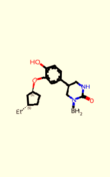 BN1CC(c2ccc(O)c(O[C@H]3CC[C@H](CC)C3)c2)CNC1=O